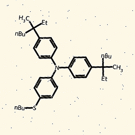 CCCCSc1ccc(N(c2ccc(C(C)(CC)CCCC)cc2)c2ccc(C(C)(CC)CCCC)cc2)cc1